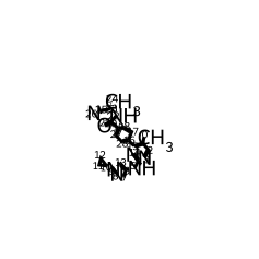 Cc1cnc(Nc2cnn(C3CC3)c2)nc1-c1ccc(C(=O)N[C@@H](C)C#N)cc1